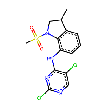 CC1CN(S(C)(=O)=O)c2c(Nc3nc(Cl)ncc3Cl)cccc21